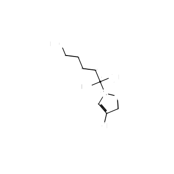 CCCCCC(C)(C)N1C=C(Cl)CS1